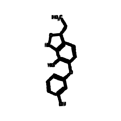 O=C(O)CC1OBc2c1ccc(Oc1cccc(O)c1)c2O